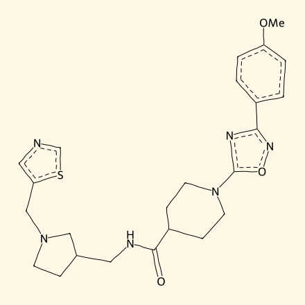 COc1ccc(-c2noc(N3CCC(C(=O)NCC4CCN(Cc5cncs5)C4)CC3)n2)cc1